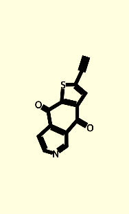 C#Cc1cc2c(s1)C(=O)c1ccncc1C2=O